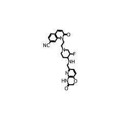 N#Cc1ccc2ccc(=O)n(CCN3CCC(NCc4ccc5c(n4)NC(=O)CO5)C(F)C3)c2c1